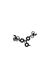 C=CC(=O)OCc1ccc(N(c2ccc(NOC(=O)C=C)cc2)c2cccc(C)c2)cc1